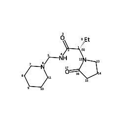 CC[C@@H](C(=O)NCN1CCCCC1)N1CCCC1=O